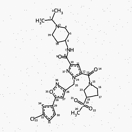 CC(C)N1CCC(NC(=O)c2cc(C(=O)N3CCC(S(C)(=O)=O)C3)n(Cc3cc(-c4ccc(Cl)s4)on3)n2)CC1